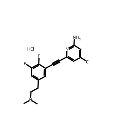 CN(C)CCc1cc(F)c(F)c(C#Cc2cc(Cl)cc(N)n2)c1.Cl